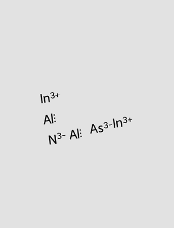 [Al].[Al].[As-3].[In+3].[In+3].[N-3]